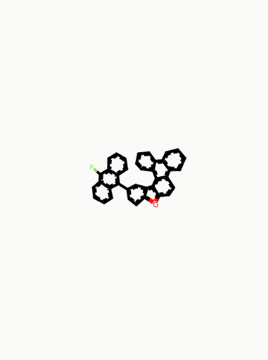 Fc1c2ccccc2c(-c2ccc3oc4ccc5c6ccccc6c6ccccc6c5c4c3c2)c2ccccc12